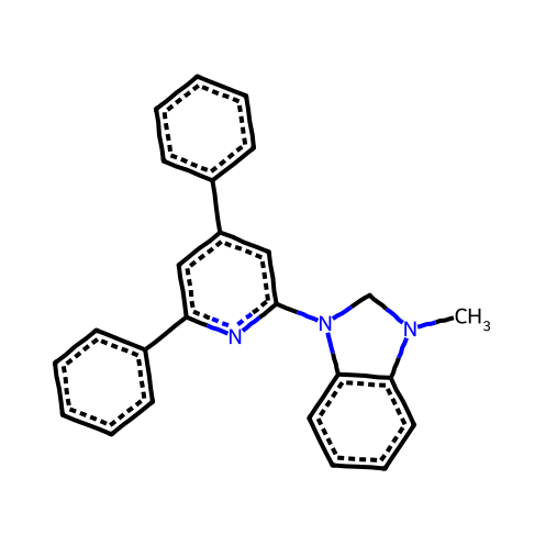 CN1CN(c2cc(-c3ccccc3)cc(-c3ccccc3)n2)c2ccccc21